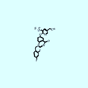 N#CCc1cnc(Oc2ccc3c(c2)c(=O)ncn3Cc2ccc(F)cc2F)c(C(F)(F)F)c1